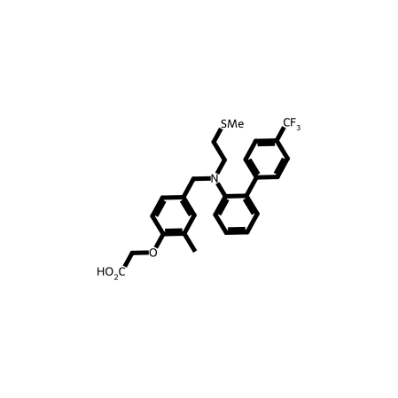 CSCCN(Cc1ccc(OCC(=O)O)c(C)c1)c1ccccc1-c1ccc(C(F)(F)F)cc1